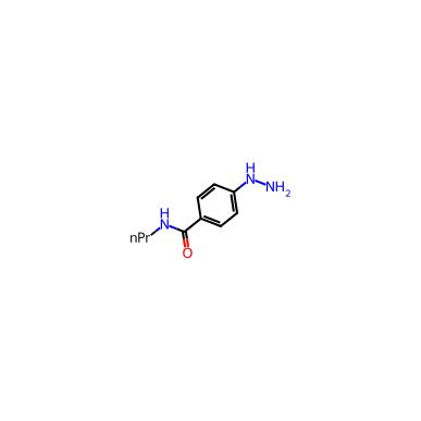 CCCNC(=O)c1ccc(NN)cc1